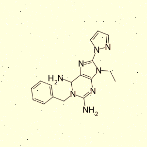 CCn1c(-n2cccn2)nc2c1N=C(N)N(Cc1ccccc1)C2N